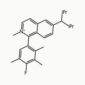 Cc1cc(-c2c3ccc(C(C(C)C)C(C)C)cc3cc[n+]2C)c(C)c(C)c1F